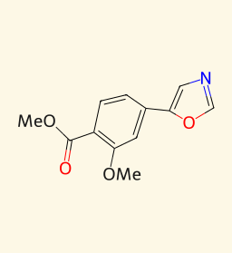 COC(=O)c1ccc(-c2cnco2)cc1OC